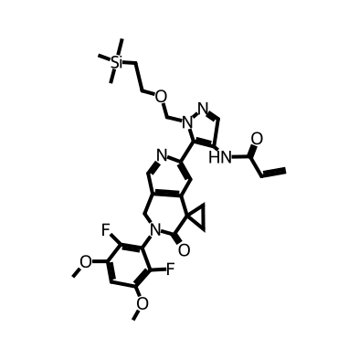 C=CC(=O)Nc1cnn(COCC[Si](C)(C)C)c1-c1cc2c(cn1)CN(c1c(F)c(OC)cc(OC)c1F)C(=O)C21CC1